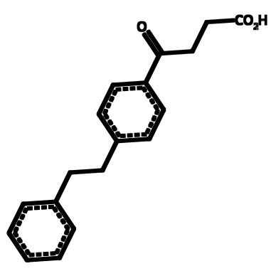 O=C(O)CCC(=O)c1ccc(CCc2ccccc2)cc1